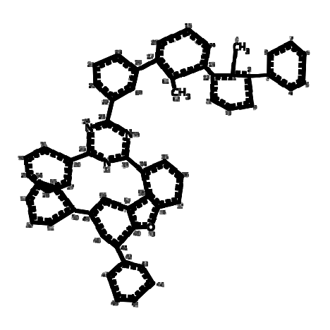 Cc1c(-c2ccccc2)cccc1-c1cccc(-c2cccc(-c3nc(-c4ccccc4)nc(-c4cccc5oc6c(-c7ccccc7)cc(-c7ccccc7)cc6c45)n3)c2)c1C